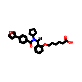 [2H]C(c1ccccc1OCCCCCC(=O)O)N(C(=O)c1ccc(-c2ccoc2)cc1)C1CCCC1